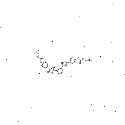 CCOC(=O)Oc1ccc(-c2nc(-c3cccc(-c4n[nH]c(-c5ccc(OC(=O)OCC)cc5)n4)c3)n[nH]2)cc1